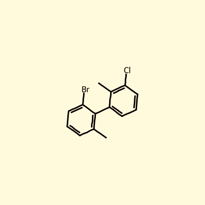 Cc1cccc(Br)c1-c1cccc(Cl)c1C